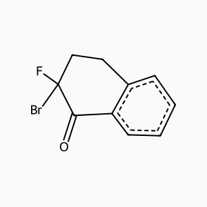 O=C1c2ccccc2CCC1(F)Br